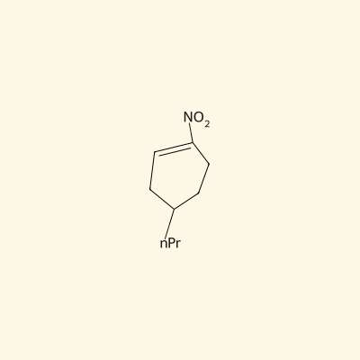 CCCC1CC=C([N+](=O)[O-])CC1